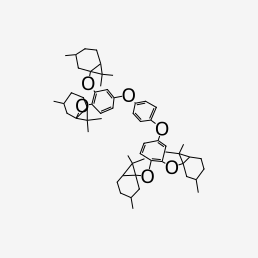 CC1CCC2C(C)(C)C2(Oc2ccc(Oc3ccc(Oc4ccc(OC56CC(C)CCC5C6(C)C)c(OC56CC(C)CCC5C6(C)C)c4)cc3)cc2OC23CC(C)CCC2C3(C)C)C1